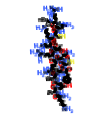 CCCC[C@H](NC(=O)[C@H](CCCNC(=N)N)NC(=O)[C@H](CCN)NC(=O)[C@H](CS)NC(=O)[C@H](CCCCN)NC(=O)[C@@H](CCN)NC(=O)[C@@H](NC(=O)[C@H](CCCNC(=N)N)NC(=O)[C@H](CCCNC(=N)N)NC(=O)[C@H](CC(N)=O)NC(=O)[C@H](CS)NC(=O)[C@H](Cc1ccc(O)cc1)NC(=O)[C@@H](NC(=O)[C@@H](NC(=O)[C@@H]1CCCN1C(=O)[C@@H](NC(=O)[C@H](N)CCCCN)C(C)C)[C@@H](C)CC)[C@@H](C)CC)[C@@H](C)O)C(=O)O